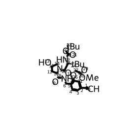 C#Cc1ccc(CNC(=O)[C@@H]2C[C@@H](O)CN2C(=O)[C@@H](NC(=O)OC(C)(C)C)C(C)(C)C)c(OCC(=O)OC)c1